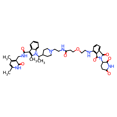 Cc1cc(C)c(CNC(=O)c2c(C)n([C@H](C)C3CCN(CCNC(=O)CCOCCNc4cccc5c4C(=O)N(C4CCC(=O)NC4=O)C5=O)CC3)c3ccccc23)c(=O)[nH]1